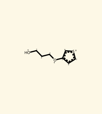 OCCCOc1ccsc1